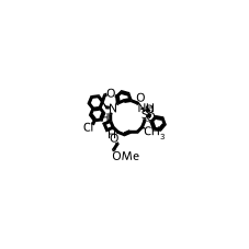 COCCO[C@H]1/C=C/C[C@H](C)[C@@H](c2ccccc2)S(=O)(=O)NC(=O)c2ccc3c(c2)N(C[C@@H]2CC[C@H]21)C[C@@]1(CCCc2cc(Cl)ccc21)CO3